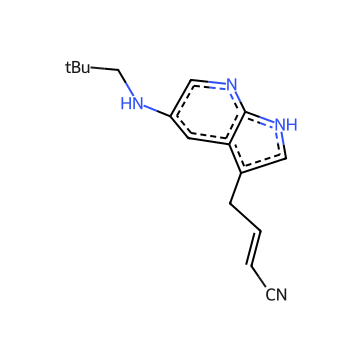 CC(C)(C)CNc1cnc2[nH]cc(CC=CC#N)c2c1